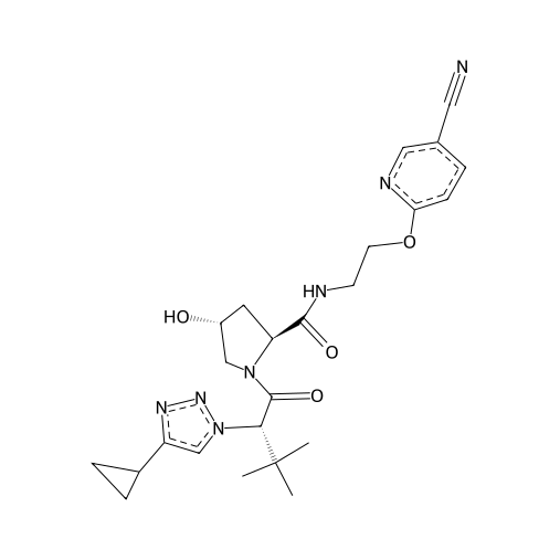 CC(C)(C)[C@@H](C(=O)N1C[C@H](O)C[C@H]1C(=O)NCCOc1ccc(C#N)cn1)n1cc(C2CC2)nn1